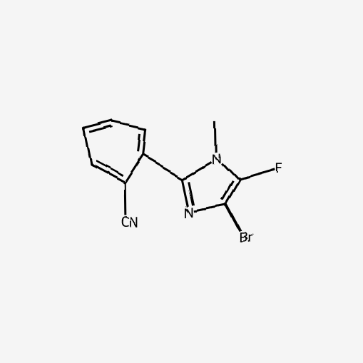 Cn1c(-c2ccccc2C#N)nc(Br)c1F